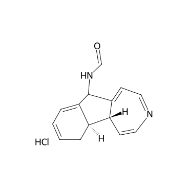 Cl.O=CNC1C2=CC=NC=C[C@@H]2[C@H]2CC=CC=C12